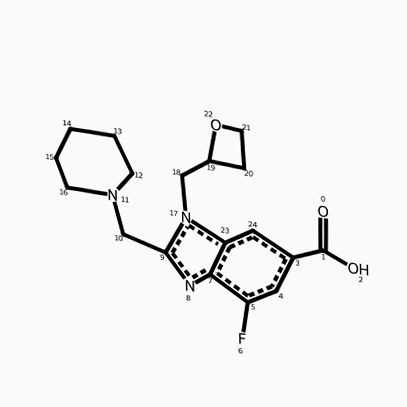 O=C(O)c1cc(F)c2nc(CN3CCCCC3)n(CC3CCO3)c2c1